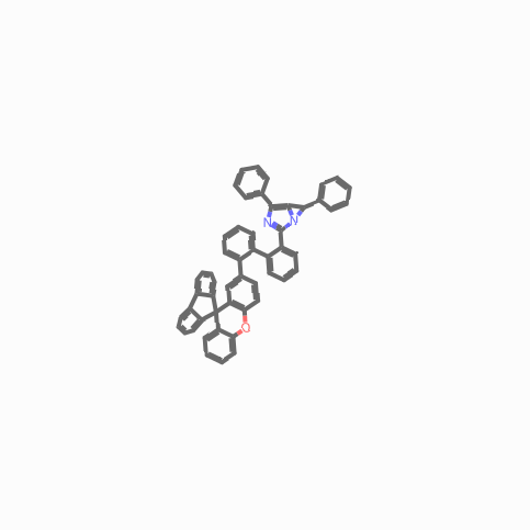 c1ccc(-c2nc(-c3ccccc3-c3ccccc3-c3ccc4c(c3)C3(c5ccccc5O4)c4ccccc4-c4ccccc43)n3c2C3c2ccccc2)cc1